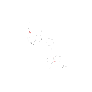 COc1ccc(CN(Cc2ccc(OC)cc2)c2cc(C)cc(-c3c(SC(F)(F)F)cc4c(N5CC6CCC(C5)N6C(=O)OC(C)(C)C)nc(F)nc4c3F)n2)cc1